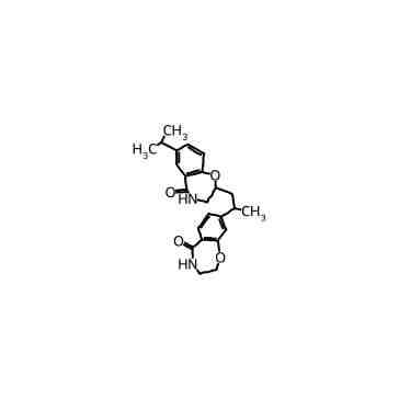 CC(C)c1ccc2c(c1)C(=O)NCC(CC(C)c1ccc3c(c1)OCCNC3=O)O2